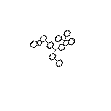 C1=Cc2c(sc3c(-c4ccc(N(c5cccc(-c6ccccc6)c5)c5ccc6c(c5)C(c5ccccc5)(c5ccccc5)c5ccccc5-6)cc4)cccc23)CC1